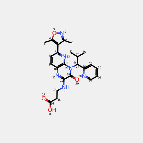 Cc1noc(C)c1-c1ccc2nc(NCCC(=O)O)c(=O)n([C@H](c3ccccn3)C(C)C)c2n1